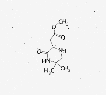 COC(=O)CC1NCC(C)(C)NC1=O